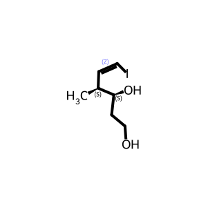 C[C@@H](/C=C\I)[C@@H](O)CCO